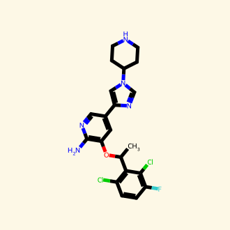 CC(Oc1cc(-c2cn(C3CCNCC3)cn2)cnc1N)c1c(Cl)ccc(F)c1Cl